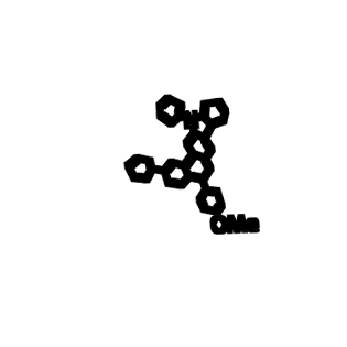 COc1ccc(-c2cc3cc4c5ccccc5n(-c5ccccc5)c4cc3c3cc(-c4ccccc4)ccc23)cc1